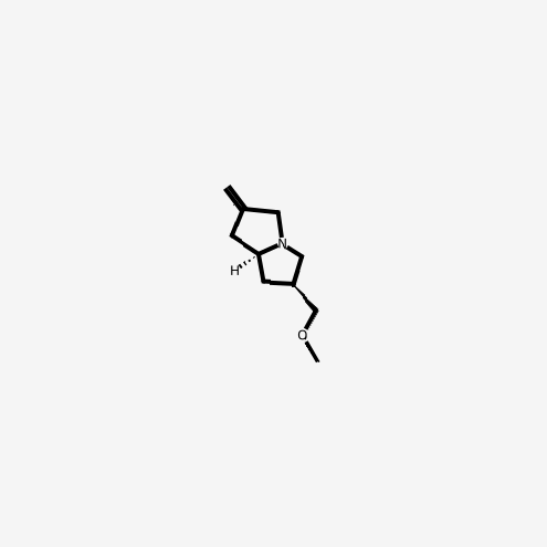 C=C1C[C@@H]2C[C@H](COC)CN2C1